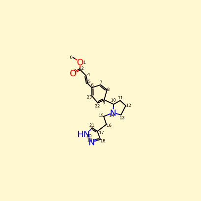 COC(=O)C=Cc1ccc(C2CCCN2CCc2cn[nH]c2)cc1